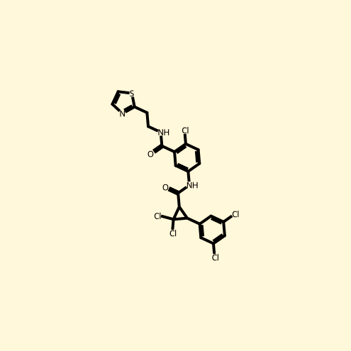 O=C(NCCc1nccs1)c1cc(NC(=O)C2C(c3cc(Cl)cc(Cl)c3)C2(Cl)Cl)ccc1Cl